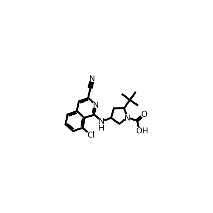 CC(C)(C)C1CC(Nc2nc(C#N)cc3cccc(Cl)c23)CN1C(=O)O